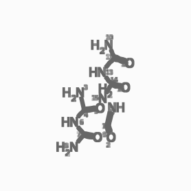 N=C=O.NC(=O)NC(N)=O.NC(=O)NC(N)=O